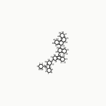 c1ccc(-n2c3ccccc3c3cc(-c4ccc5c(c4)c4ccccc4n5-c4ccc(-c5cc6ccc7ccccc7c6c6ccccc56)c5ccccc45)ccc32)cc1